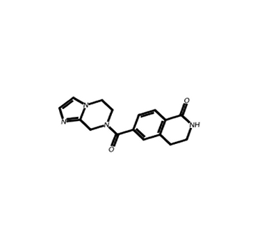 O=C1NCCc2cc(C(=O)N3CCn4ccnc4C3)ccc21